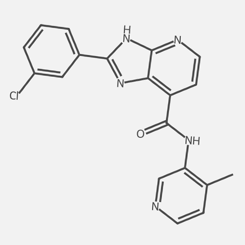 Cc1ccncc1NC(=O)c1ccnc2[nH]c(-c3cccc(Cl)c3)nc12